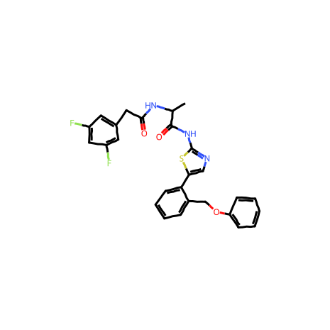 CC(NC(=O)Cc1cc(F)cc(F)c1)C(=O)Nc1ncc(-c2ccccc2COc2ccccc2)s1